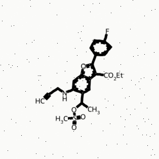 C#CCNc1cc2oc(-c3ccc(F)cc3)c(C(=O)OCC)c2cc1C(C)OS(C)(=O)=O